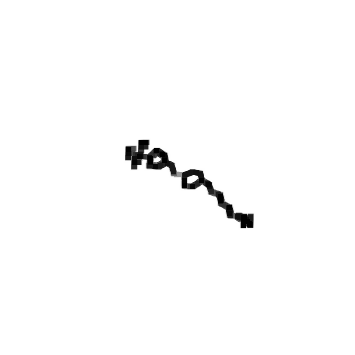 N#CC=CC=CCC[C@H]1CC[C@H](CCc2ccc(C(F)(F)F)cc2)CC1